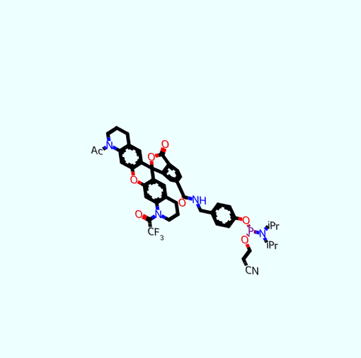 CC(=O)N1CCCc2cc3c(cc21)Oc1cc2c(cc1C31OC(=O)c3ccc(C(=O)NCc4ccc(OP(OCCC#N)N(C(C)C)C(C)C)cc4)cc31)CCCN2C(=O)C(F)(F)F